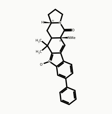 CN[C@@]12C=C3C(=[N+]([O-])c4cc(-c5ccccc5)ccc43)C(C)(C)C1C[C@@H]1CCCN1C2=O